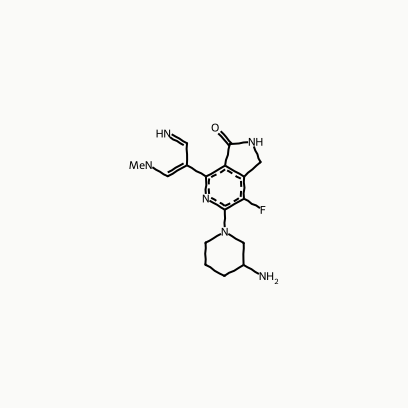 CN/C=C(\C=N)c1nc(N2CCCC(N)C2)c(F)c2c1C(=O)NC2